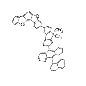 CC1(C)c2ccc(-c3ccc4c(c3)oc3ccc5c6ccccc6oc5c34)cc2-c2ccc(-c3c4ccccc4c(-c4cccc5ccccc45)c4ccccc34)cc21